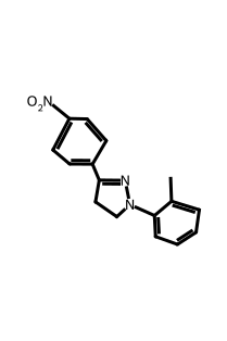 Cc1ccccc1N1CCC(c2ccc([N+](=O)[O-])cc2)=N1